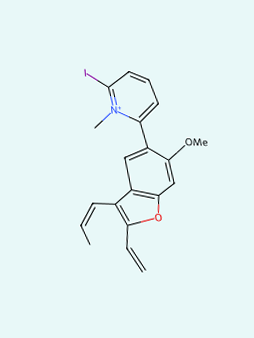 C=Cc1oc2cc(OC)c(-c3cccc(I)[n+]3C)cc2c1/C=C\C